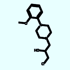 COc1ccccc1N1CCN(CC(O)CCl)CC1